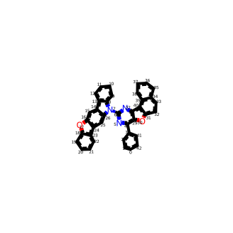 c1ccc(-c2nc(-n3c4ccccc4c4cc5oc6ccccc6c5cc43)nc3c2oc2ccc4ccccc4c23)cc1